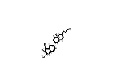 CCCCC1CCC2C[C@H](c3ccc4cc(OC)c(F)c(F)c4c3)CC[C@@H]2C1